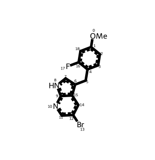 COc1ccc(Cc2c[nH]c3ncc(Br)cc23)c(F)c1